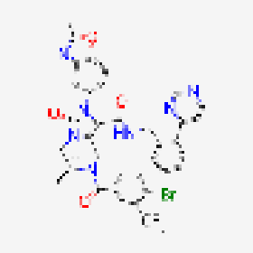 Cc1nc2cc(-n3c(C(=O)NCc4ccccc4-c4ccncn4)c4n(c3=O)C[C@H](C)N(C(=O)c3ccc(Br)c(C(F)(F)F)c3)C4)ccc2o1